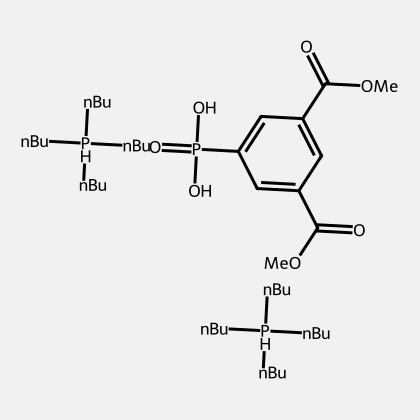 CCCC[PH](CCCC)(CCCC)CCCC.CCCC[PH](CCCC)(CCCC)CCCC.COC(=O)c1cc(C(=O)OC)cc(P(=O)(O)O)c1